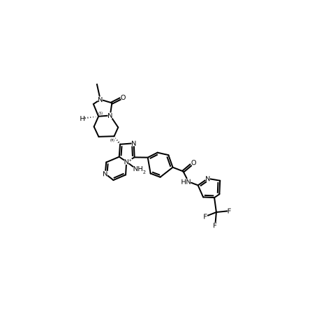 CN1C[C@@H]2CC[C@@H](C3=C4C=NC=C[N+]4(N)C(c4ccc(C(=O)Nc5cc(C(F)(F)F)ccn5)cc4)=N3)CN2C1=O